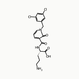 NCCC[C@H](NC(=O)c1cccn(Cc2cc(Cl)cc(Cl)c2)c1=O)C(=O)O